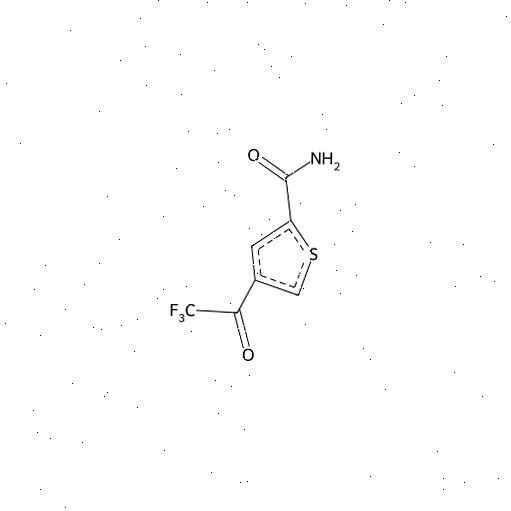 NC(=O)c1cc(C(=O)C(F)(F)F)cs1